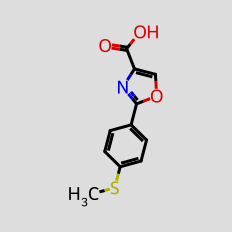 CSc1ccc(-c2nc(C(=O)O)co2)cc1